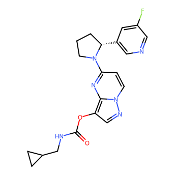 O=C(NCC1CC1)Oc1cnn2ccc(N3CCC[C@@H]3c3cncc(F)c3)nc12